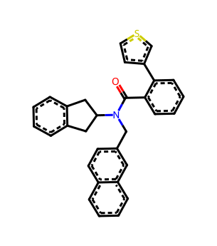 O=C(c1ccccc1-c1ccsc1)N(Cc1ccc2ccccc2c1)C1Cc2ccccc2C1